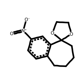 O=[N+]([O-])c1ccc2c(c1)C1(CCCC2)OCCO1